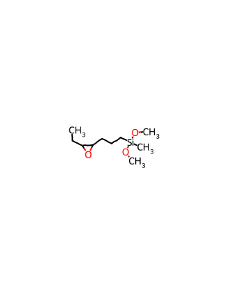 CCC1OC1CCC[Si](C)(OC)OC